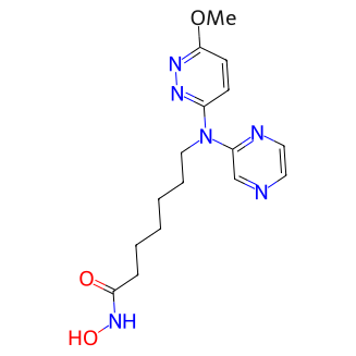 COc1ccc(N(CCCCCCC(=O)NO)c2cnccn2)nn1